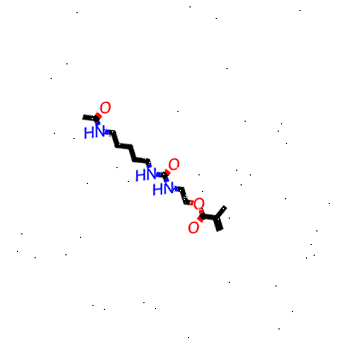 C=C(C)C(=O)OCCNC(=O)NCCCCCNC(C)=O